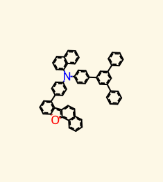 c1ccc(-c2cc(-c3ccccc3)cc(-c3ccc(N(c4ccc(-c5cccc6oc7c8ccccc8ccc7c56)cc4)c4cccc5ccccc45)cc3)c2)cc1